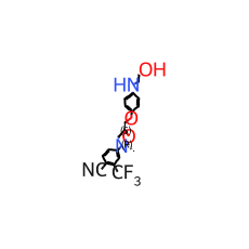 C[C@H]1O[C@H](COc2ccc(NCCO)cc2)CN1c1ccc(C#N)c(C(F)(F)F)c1